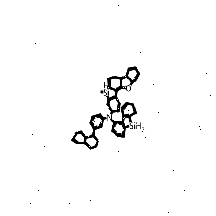 C[SiH]1C2=CCC3C(=C2C2=C1CC(N(c1cccc(C4CCC=C5C=CCCC54)c1)c1cccc4c1C1=C(CCC=C1)[SiH2]4)C=C2)OC1C=CC=CC13